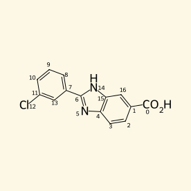 O=C(O)c1ccc2nc(-c3cccc(Cl)c3)[nH]c2c1